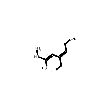 CC/C=C(\C=C(/C)NN)CC